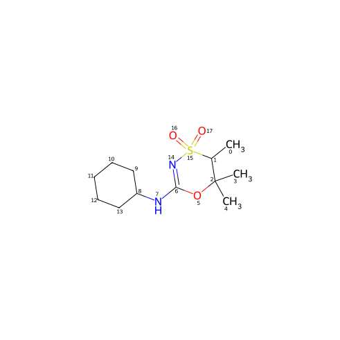 CC1C(C)(C)OC(NC2CCCCC2)=NS1(=O)=O